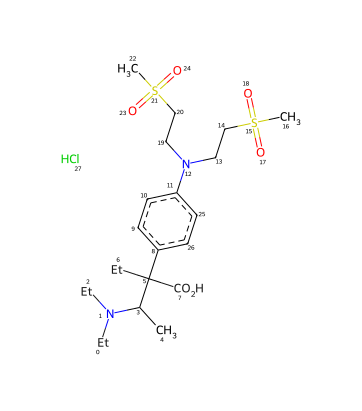 CCN(CC)C(C)C(CC)(C(=O)O)c1ccc(N(CCS(C)(=O)=O)CCS(C)(=O)=O)cc1.Cl